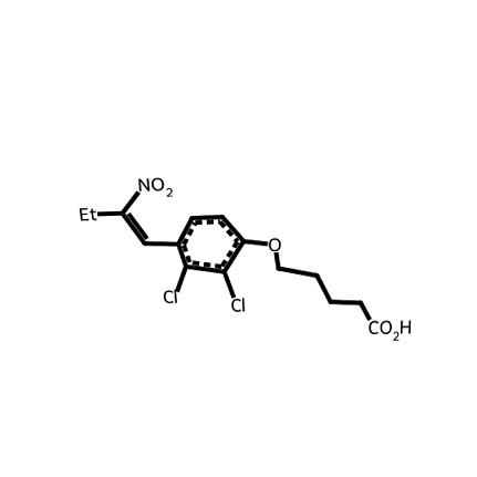 CCC(=Cc1ccc(OCCCCC(=O)O)c(Cl)c1Cl)[N+](=O)[O-]